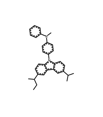 CCC(C)c1ccc2c(c1)c1cc(C(C)C)ccc1n2-c1ccc(N(C)c2ccccc2)cc1